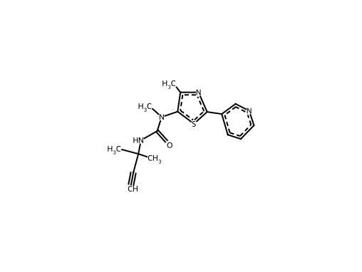 C#CC(C)(C)NC(=O)N(C)c1sc(-c2cccnc2)nc1C